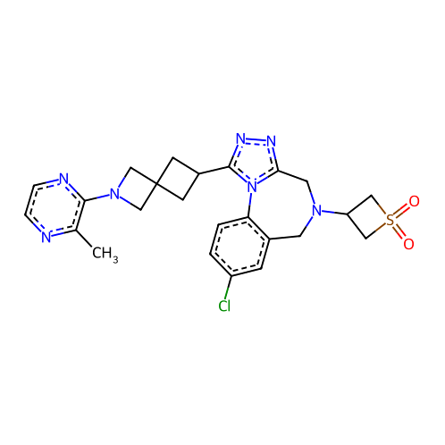 Cc1nccnc1N1CC2(CC(c3nnc4n3-c3ccc(Cl)cc3CN(C3CS(=O)(=O)C3)C4)C2)C1